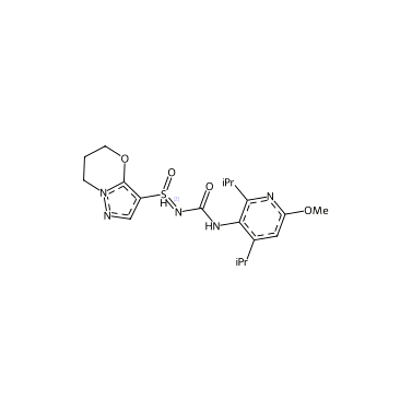 COc1cc(C(C)C)c(NC(=O)/N=[SH](=O)/c2cnn3c2OCCC3)c(C(C)C)n1